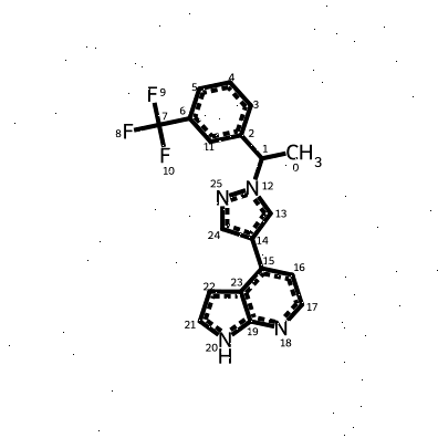 CC(c1cccc(C(F)(F)F)c1)n1cc(-c2ccnc3[nH]ccc23)cn1